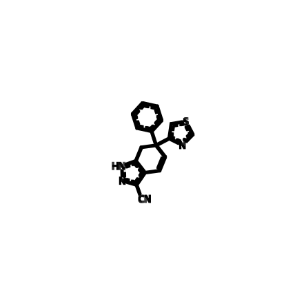 N#Cc1n[nH]c2c1C=CC(c1ccccc1)(c1cscn1)C2